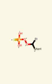 CCCCCC(CC)OOP(O)(O)=S